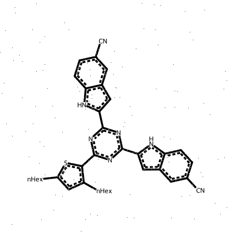 CCCCCCc1cc(CCCCCC)c(-c2nc(-c3cc4cc(C#N)ccc4[nH]3)nc(-c3cc4cc(C#N)ccc4[nH]3)n2)s1